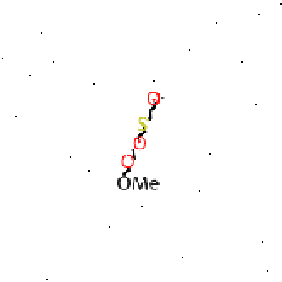 COCCOCCOCCSCCC[O]